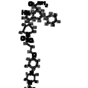 CC(=O)N1CCN(c2ccc(OCCCS(=O)(=O)N3CCC(c4c[nH]c5c(C(N)=O)cc(-c6ccccc6)cc45)CC3)cc2)CC1